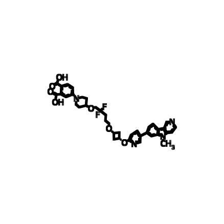 Cn1c2ccncc2c2ccc(-c3ccc(O[C@H]4C[C@H](OCCCC(F)(F)COC5CCN(c6ccc(C(=O)O)c(C(=O)O)c6)CC5)C4)nc3)cc21